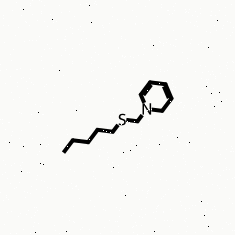 CCCCCSCN1C=CC=CC1